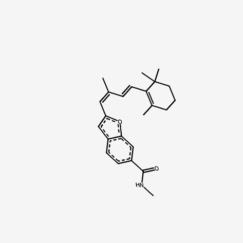 CNC(=O)c1ccc2cc(C=C(C)C=CC3=C(C)CCCC3(C)C)oc2c1